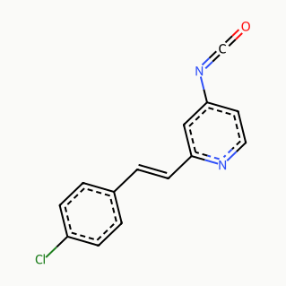 O=C=Nc1ccnc(C=Cc2ccc(Cl)cc2)c1